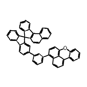 c1cc(-c2ccc3c(c2)C2(c4ccccc4-3)c3ccccc3-c3c2ccc2ccccc32)cc(-c2ccc3c4c(cccc24)-c2ccccc2O3)c1